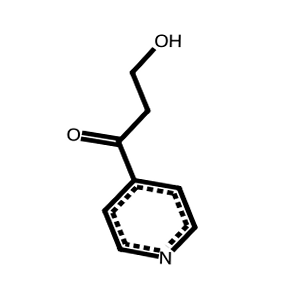 O=C(CCO)c1ccncc1